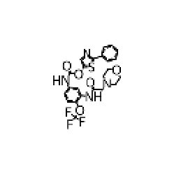 O=C(CN1CCOCC1)Nc1cc(NC(=O)Oc2cnc(-c3ccccc3)s2)ccc1OC(F)(F)F